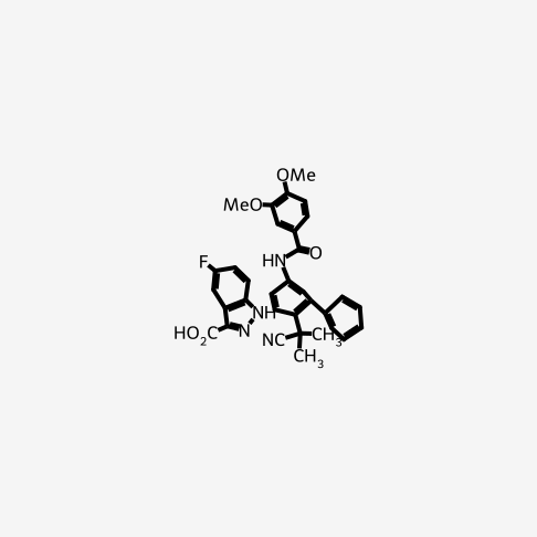 COc1ccc(C(=O)Nc2ccc(C(C)(C)C#N)c(-c3ccccc3)c2)cc1OC.O=C(O)c1n[nH]c2ccc(F)cc12